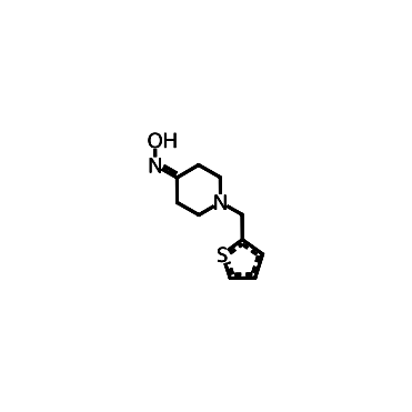 ON=C1CCN(Cc2cccs2)CC1